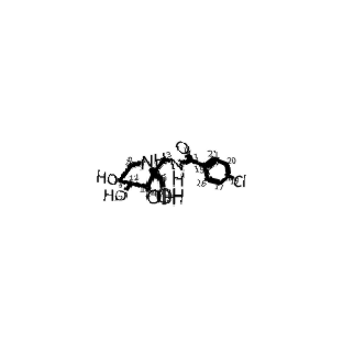 O=C(NCC1(CO)NCC(O)C(O)C1O)c1ccc(Cl)cc1